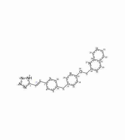 C(=C\c1nnn[nH]1)/c1ccc(Cc2ccc(OCc3ccc4ccccc4n3)cc2)cc1